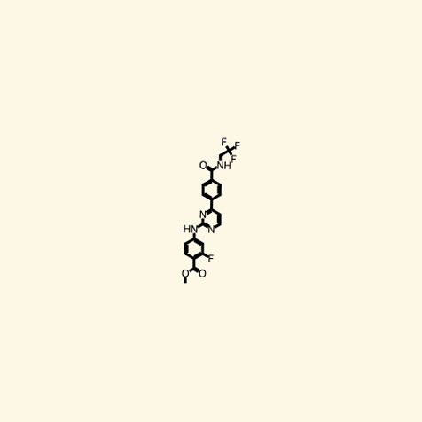 COC(=O)c1ccc(Nc2nccc(-c3ccc(C(=O)NCC(F)(F)F)cc3)n2)cc1F